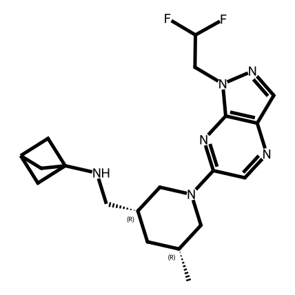 C[C@@H]1C[C@H](CNC23CC(C2)C3)CN(c2cnc3cnn(CC(F)F)c3n2)C1